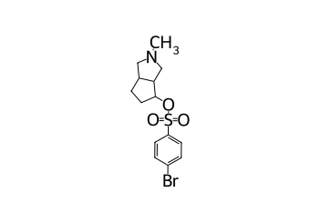 CN1CC2CCC(OS(=O)(=O)c3ccc(Br)cc3)C2C1